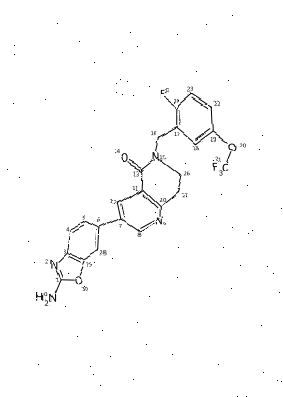 Nc1nc2ccc(-c3cnc4c(c3)C(=O)N(Cc3cc(OC(F)(F)F)ccc3F)CC4)cc2o1